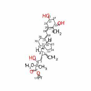 C=C(/C=C/[C@@H](O)C(C)(C)C(=O)OC(C)C)[C@H]1CC[C@H]2/C(=C/C=C3/C[C@@H](O)C[C@H](O)C3=C)CCC[C@]12C